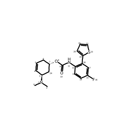 CN(C)[C@H]1C=CC[C@H](OC(=O)Nc2ccc(F)cc2-c2cccs2)C1